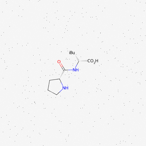 CC[C@@H](C)[C@@H](NC(=O)[C@H]1CCCN1)C(=O)O